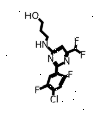 OCCCNc1cc(C(F)F)nc(-c2cc(F)c(Cl)cc2F)n1